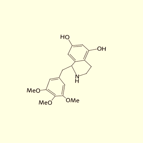 COc1cc(CC2NCCc3c(O)cc(O)cc32)cc(OC)c1OC